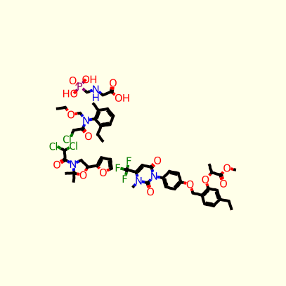 CC1(C)OC(c2ccco2)CN1C(=O)C(Cl)Cl.CCOCN(C(=O)CCl)c1c(C)cccc1CC.CCc1ccc(COc2ccc(-n3c(=O)cc(C(F)(F)F)n(C)c3=O)cc2)c(OC(C)C(=O)OC)c1.O=C(O)CNCP(=O)(O)O